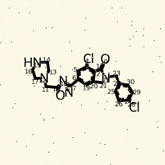 O=C1c2c(Cl)cc(-c3noc(CN4CCNCC4)n3)cc2CN1Cc1ccc(Cl)cc1